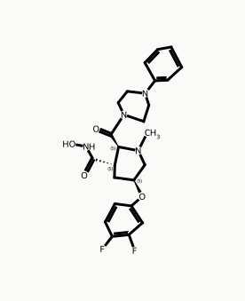 CN1C[C@@H](Oc2ccc(F)c(F)c2)C[C@H](C(=O)NO)[C@H]1C(=O)N1CCN(c2ccccc2)CC1